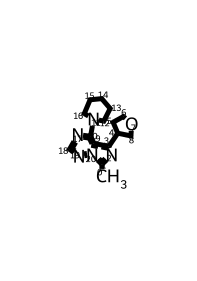 Cc1nc(C2CCOC2)c2c(N3CCCCC3)ncnn12